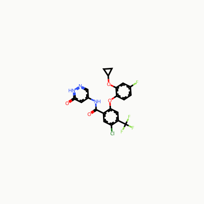 O=C(Nc1cn[nH]c(=O)c1)c1cc(Cl)c(C(F)(F)F)cc1Oc1ccc(F)cc1OC1CC1